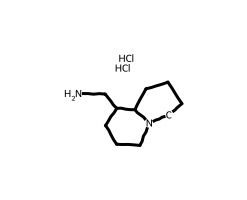 Cl.Cl.NCC1CCCN2CCCCC12